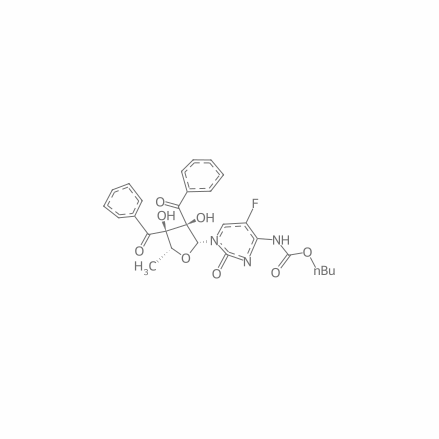 CCCCOC(=O)Nc1nc(=O)n([C@@H]2O[C@H](C)[C@](O)(C(=O)c3ccccc3)[C@]2(O)C(=O)c2ccccc2)cc1F